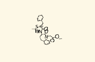 CCOC(=O)CN1C(=O)C(NC(=O)[C@H](Cc2ccccc2)SC(C)=O)=CCc2ccccc21